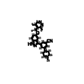 Cc1cnnc(C)c1[C@@H](C)Oc1ccc2[nH]nc(-c3cc(C#N)cc(N4CCN(C)CC4)c3)c2c1